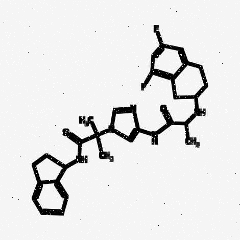 CC(NC1CCc2cc(F)cc(F)c2C1)C(=O)Nc1cn(C(C)(C)C(=O)NC2CCc3ccccc32)cn1